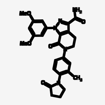 COc1cc(OC)cc(-n2nc(C(N)=O)c3c2C(=O)N(c2ccc(N4CCCC4=O)c(C)c2)CC3)c1